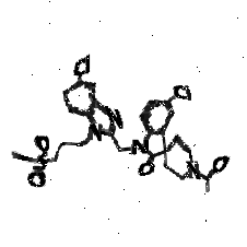 CC(=O)N1CCC2(CC1)C(=O)N(Cc1nc3cc(Cl)ccc3n1CCCS(C)(=O)=O)c1ccc(Cl)cc12